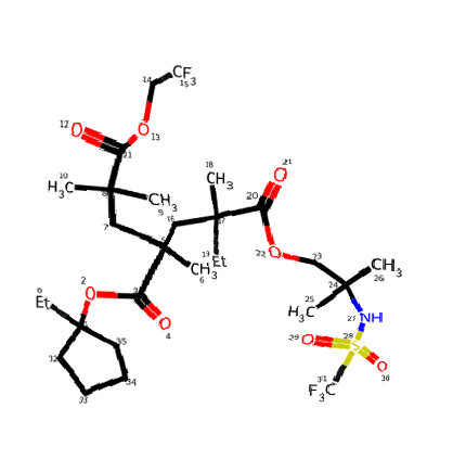 CCC1(OC(=O)C(C)(CC(C)(C)C(=O)OCC(F)(F)F)CC(C)(CC)C(=O)OCC(C)(C)NS(=O)(=O)C(F)(F)F)CCCC1